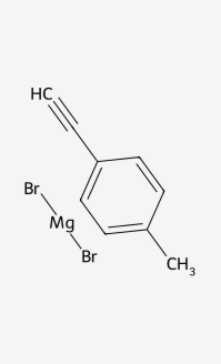 C#Cc1ccc(C)cc1.[Br][Mg][Br]